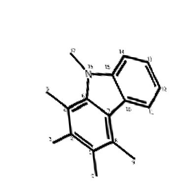 Cc1c(C)c(C)c2c(c1C)c1ccccc1n2C